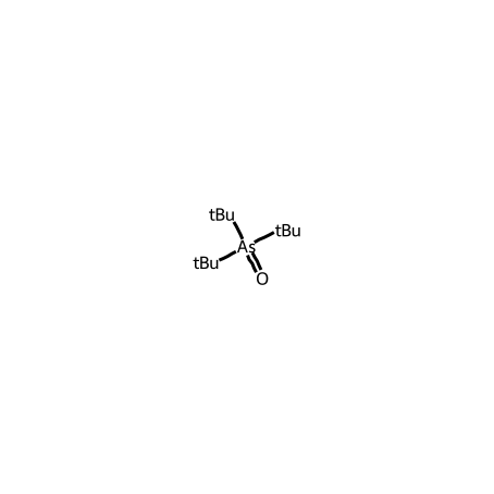 CC(C)(C)[As](=O)(C(C)(C)C)C(C)(C)C